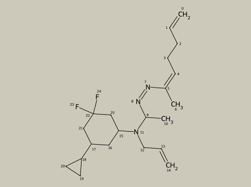 C=CCC/C=C(C)\N=N/C(C)N(CC=C)C1CC(C2CC2)CC(F)(F)C1